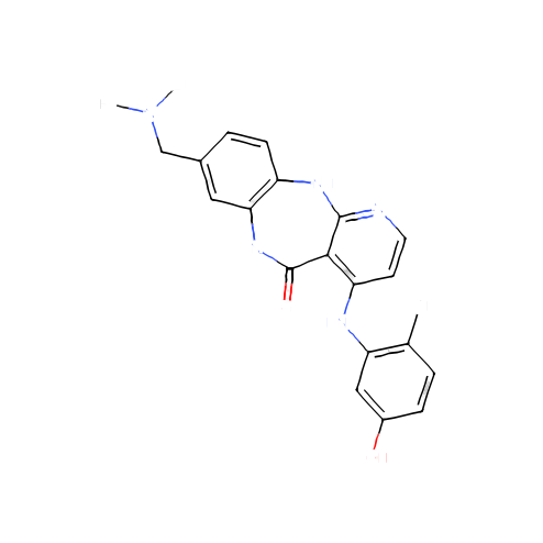 CCN(CC)Cc1ccc2c(c1)NC(=O)c1c(Nc3cc(O)ccc3C)ccnc1N2